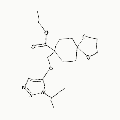 CCOC(=O)C1(COc2cnnn2C(C)C)CCC2(CC1)OCCO2